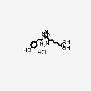 Cl.NC(CCCCB(O)O)c1nnnn1CCc1ccc(O)cc1